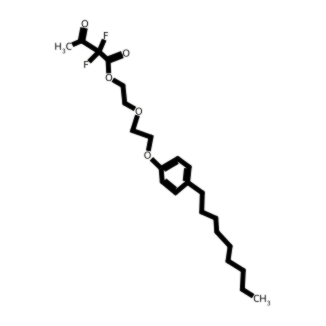 CCCCCCCCCc1ccc(OCCOCCOC(=O)C(F)(F)C(C)=O)cc1